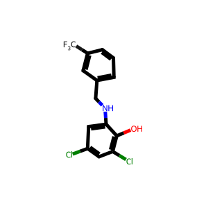 Oc1c(Cl)cc(Cl)cc1NCc1cccc(C(F)(F)F)c1